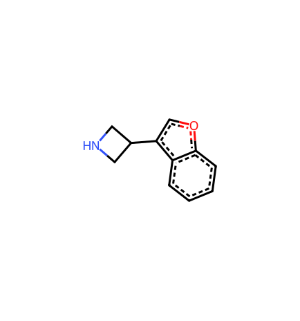 c1ccc2c(C3CNC3)coc2c1